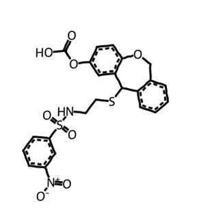 O=C(O)Oc1ccc2c(c1)C(SCCNS(=O)(=O)c1cccc([N+](=O)[O-])c1)c1ccccc1CO2